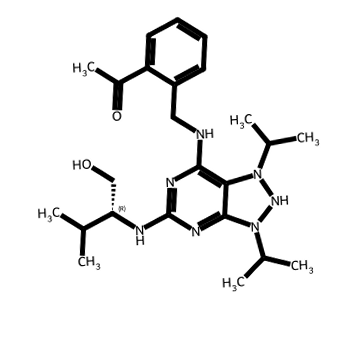 CC(=O)c1ccccc1CNc1nc(N[C@@H](CO)C(C)C)nc2c1N(C(C)C)NN2C(C)C